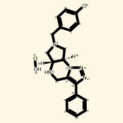 Clc1ccc(CN2C[C@@H]3[C@@H](C2)NCc2c(-c4ccccc4)nnn23)cc1.OCl